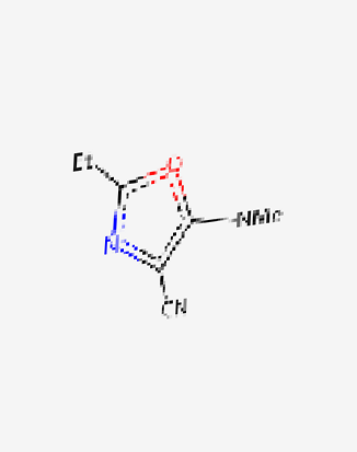 CCc1nc(C#N)c(NC)o1